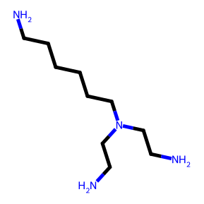 NCCCCCCN(CCN)CCN